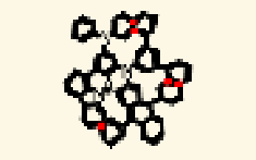 c1ccc(-c2cc(-c3ccccc3)cc(N3c4cc5c(-c6ccccc6)c6ccccc6c(-c6ccccc6)c5cc4B4c5c(cc(N(c6ccccc6)c6ccccc6)cc53)-c3cccc5c6ccccc6n4c35)c2)cc1